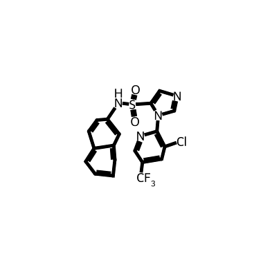 O=S(=O)(Nc1ccc2ccccc2c1)c1cncn1-c1ncc(C(F)(F)F)cc1Cl